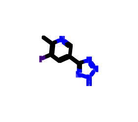 Cc1ncc(-c2nn[nH]n2)cc1I